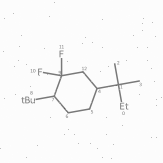 CCC(C)(C)C1CCC(C(C)(C)C)C(F)(F)C1